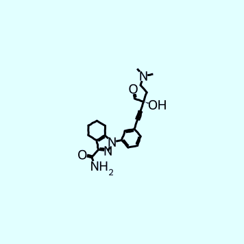 CN(C)CC[C@@](O)(C#Cc1cccc(-n2nc(C(N)=O)c3c2CCCC3)c1)C=O